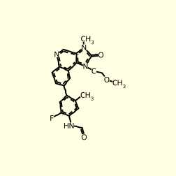 COCCn1c(=O)n(C)c2cnc3ccc(-c4cc(F)c(NC=O)cc4C)cc3c21